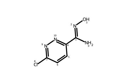 NC(=NO)c1ccc(Cl)nn1